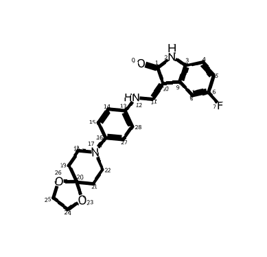 O=C1Nc2ccc(F)cc2C1=CNc1ccc(N2CCC3(CC2)OCCO3)cc1